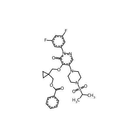 CC(C)S(=O)(=O)N1CCN(c2cnn(-c3cc(F)cc(F)c3)c(=O)c2OCC2(COC(=O)c3ccccc3)CC2)CC1